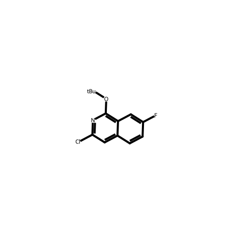 CC(C)(C)Oc1nc(Cl)cc2ccc(F)cc12